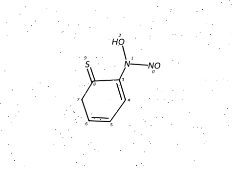 O=NN(O)C1=CC=CCC1=S